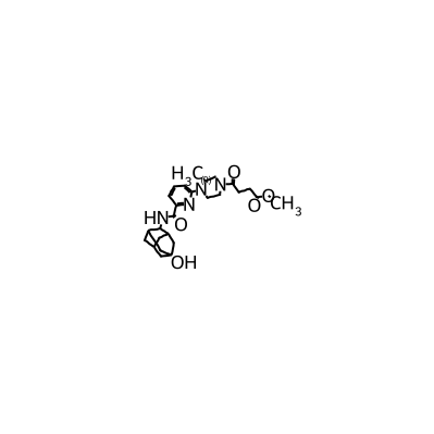 COC(=O)CCC(=O)N1CCN(c2cccc(C(=O)NC3C4CC5CC3CC(O)(C5)C4)n2)[C@H](C)C1